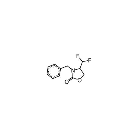 O=C1OCC(C(F)F)N1Cc1ccccc1